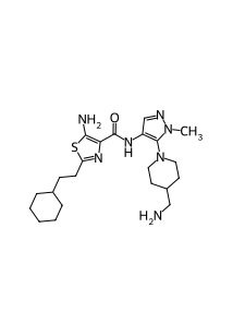 Cn1ncc(NC(=O)c2nc(CCC3CCCCC3)sc2N)c1N1CCC(CN)CC1